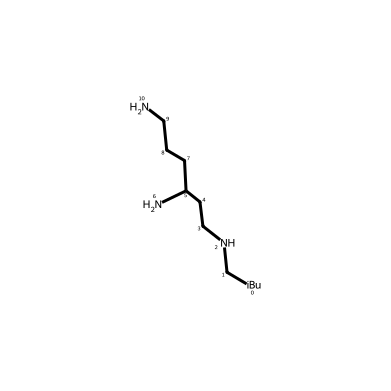 CCC(C)CNCCC(N)CCCN